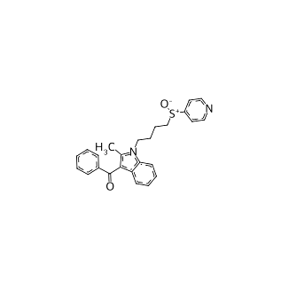 Cc1c(C(=O)c2ccccc2)c2ccccc2n1CCCC[S+]([O-])c1ccncc1